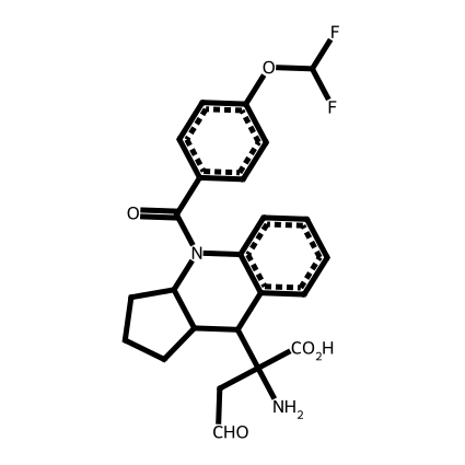 NC(CC=O)(C(=O)O)C1c2ccccc2N(C(=O)c2ccc(OC(F)F)cc2)C2CCCC21